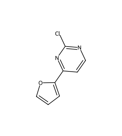 Clc1nccc(-c2ccco2)n1